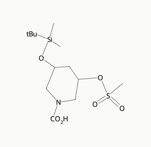 CC(C)(C)[Si](C)(C)OC1CC(OS(C)(=O)=O)CN(C(=O)O)C1